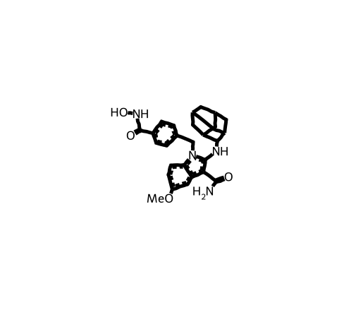 COc1ccc2c(c1)c(C(N)=O)c(NC1C3CC4CC(C3)CC1C4)n2Cc1ccc(C(=O)NO)cc1